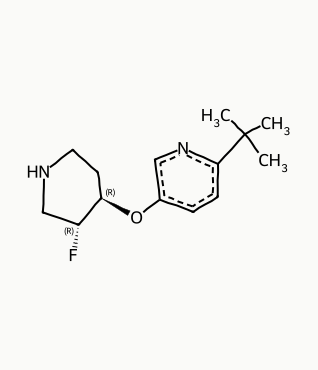 CC(C)(C)c1ccc(O[C@@H]2CCNC[C@H]2F)cn1